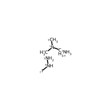 CN(C)C.N.NNI